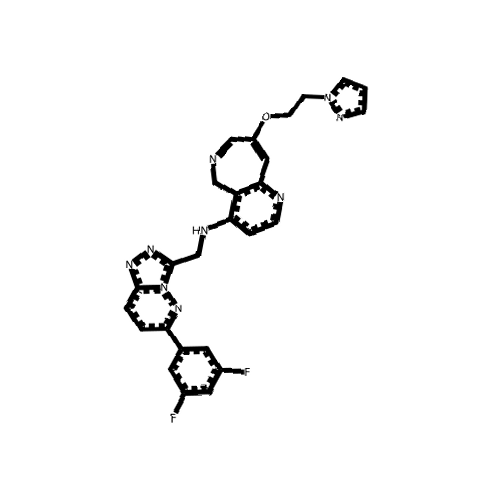 Fc1cc(F)cc(-c2ccc3nnc(CNc4ccnc5c4CN=CC(OCCn4cccn4)=C5)n3n2)c1